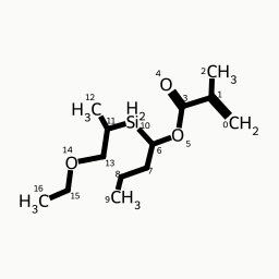 C=C(C)C(=O)OC(CCC)[SiH2]C(C)COCC